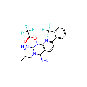 CCCN1C(N)c2ccc(-c3ccccc3C(F)(F)F)nc2N(OC(=O)C(F)(F)F)C1N